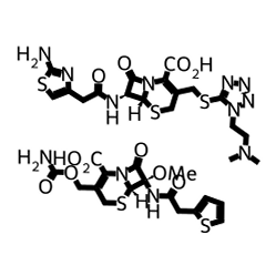 CN(C)CCn1nnnc1SCC1=C(C(=O)O)N2C(=O)[C@@H](NC(=O)Cc3csc(N)n3)[C@H]2SC1.CO[C@@]1(NC(=O)Cc2cccs2)C(=O)N2C(C(=O)O)=C(COC(N)=O)CS[C@@H]21